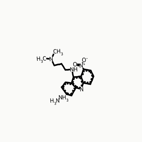 CN(C)CCCNc1c2ccccc2nc2cccc([N+](=O)[O-])c12.N.N